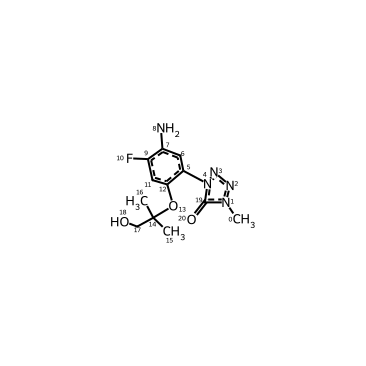 Cn1nnn(-c2cc(N)c(F)cc2OC(C)(C)CO)c1=O